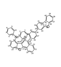 c1ccc(N(c2ccccc2)c2cccc3oc4c5ccccc5c(-c5ccc(-c6ccc7c(c6)oc6ccccc67)cc5)cc4c23)cc1